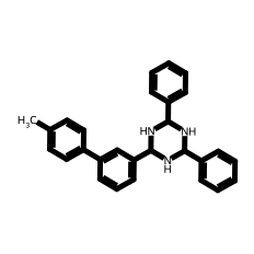 Cc1ccc(-c2cccc(C3NC(c4ccccc4)NC(c4ccccc4)N3)c2)cc1